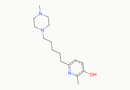 Cc1nc(CCCCCN2CCN(C)CC2)ccc1O